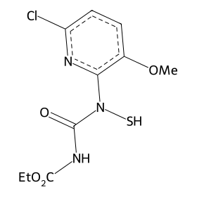 CCOC(=O)NC(=O)N(S)c1nc(Cl)ccc1OC